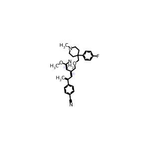 C=C(/C=C(\C=C(/N)OC)COCC1(c2ccc(F)cc2)CCN(C)CC1)c1ccc(C#N)cc1